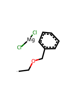 [CH2]COCc1ccccc1.[Cl][Mg][Cl]